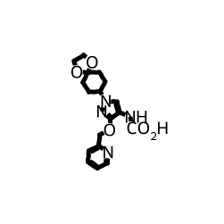 O=C(O)Nc1cn(C2CCC3(CC2)OCCO3)nc1OCc1ccccn1